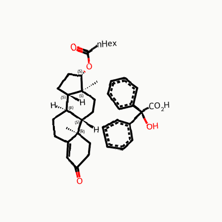 CCCCCCC(=O)O[C@H]1CC[C@H]2[C@@H]3CCC4=CC(=O)CC[C@]4(C)[C@H]3CC[C@]12C.O=C(O)C(O)(c1ccccc1)c1ccccc1